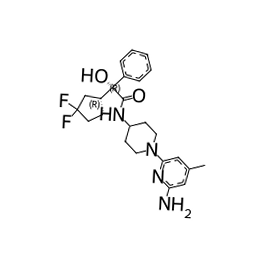 Cc1cc(N)nc(N2CCC(NC(=O)[C@](O)(c3ccccc3)[C@@H]3CCC(F)(F)C3)CC2)c1